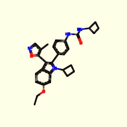 CCOc1ccc2c(-c3oncc3C)c(-c3ccc(NC(=O)NC4CCC4)cc3)n(C3CCC3)c2c1